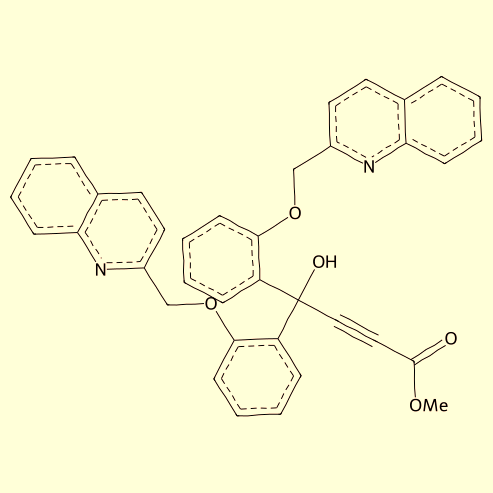 COC(=O)C#CC(O)(c1ccccc1OCc1ccc2ccccc2n1)c1ccccc1OCc1ccc2ccccc2n1